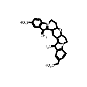 C=C1C2=[N+](CCC3OC4CCn5c(c(=C)c6cc(CC(=O)O)ccc65)=C4C=C23)c2ccc(S(=O)(=O)O)cc21